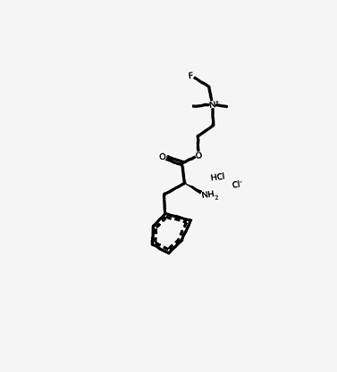 C[N+](C)(CF)CCOC(=O)[C@@H](N)Cc1ccccc1.Cl.[Cl-]